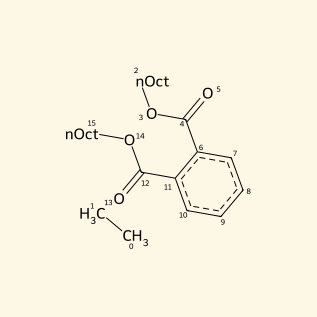 CC.CCCCCCCCOC(=O)c1ccccc1C(=O)OCCCCCCCC